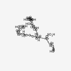 CC[N+]1=C(/C=C/C=C/C=C2/N(CCCCCC(=O)NC(CSSCCCOC(=O)Nc3ccn([C@H]4C[C@@H](O)[C@@H](COP(=O)(O)OP(=O)(O)OP(=O)(O)O)O4)c(=O)n3)C(=O)NCCOCCOCCOCC(=O)NC/C=C/c3cn([C@H]4C[C@@H](O)[C@@H](COP(=O)(O)O)O4)c(=O)nc3N)c3ccc(S(=O)(=O)O)cc3C2(C)C)C(C)(C)c2cc(SOOO)ccc21